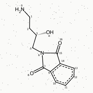 NCC[C@H](O)CN1C(=O)c2ccccc2C1=O